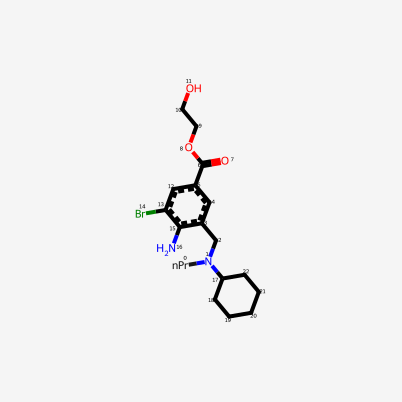 CCCN(Cc1cc(C(=O)OCCO)cc(Br)c1N)C1CCCCC1